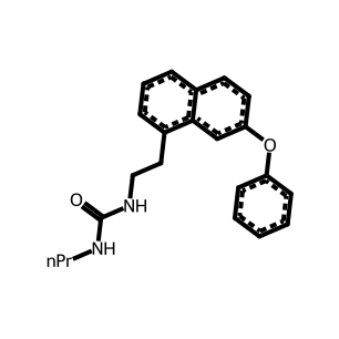 CCCNC(=O)NCCc1cccc2ccc(Oc3ccccc3)cc12